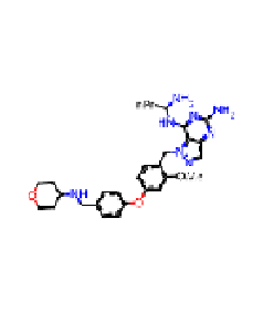 CCCC(N)Nc1nc(N)nc2cnn(Cc3ccc(Oc4ccc(CNC5CCOCC5)cc4)cc3OC)c12